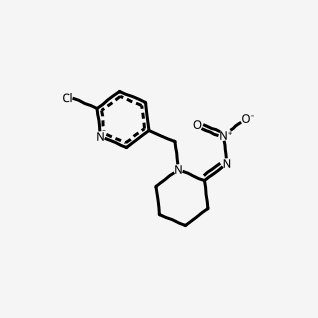 O=[N+]([O-])/N=C1/CCCCN1Cc1ccc(Cl)nc1